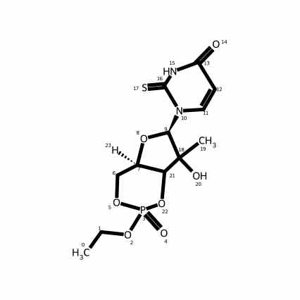 CCOP1(=O)OC[C@H]2O[C@@H](n3ccc(=O)[nH]c3=S)C(C)(O)C2O1